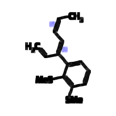 C=C/C(=C\C=C/C)c1cccc(SC)c1SC